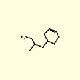 CC(CN)CC1CC=CCC1